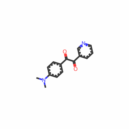 CN(C)c1ccc(C(=O)C(=O)c2cccnc2)cc1